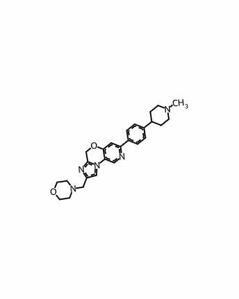 CN1CCC(c2ccc(-c3cc4c(cn3)-n3cc(CN5CCOCC5)nc3CO4)cc2)CC1